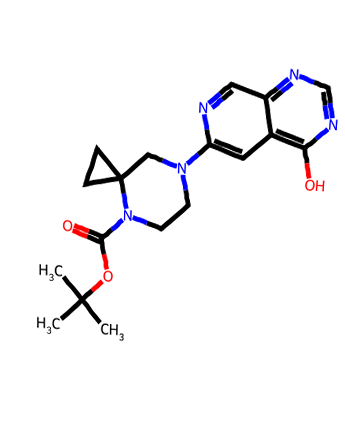 CC(C)(C)OC(=O)N1CCN(c2cc3c(O)ncnc3cn2)CC12CC2